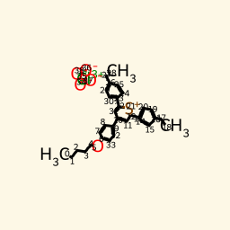 CCCCCOc1ccc(-c2cc(-c3ccc(CC)cc3)[s+]c(-c3ccc(CC)cc3)c2)cc1.[O-][Cl+3]([O-])([O-])[O-]